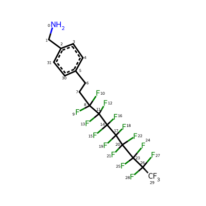 NCc1ccc(CCC(F)(F)C(F)(F)C(F)(F)C(F)(F)C(F)(F)C(F)(F)C(F)(F)C(F)(F)F)cc1